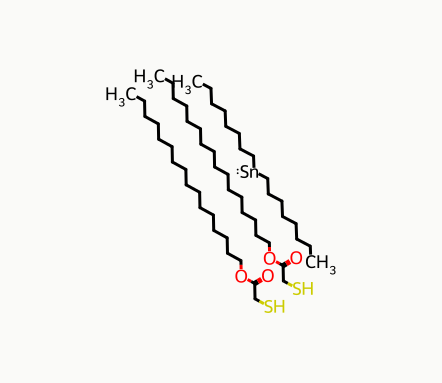 CCCCCCCCCCCCCCCCOC(=O)CS.CCCCCCCCCCCCCCCCOC(=O)CS.CCCCCCC[CH2][Sn][CH2]CCCCCCC